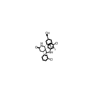 C#Cc1ccc(C)c([C@H]2NC(=O)C[C@@H](c3cccc(Cl)c3)[C@]23C(=O)Nc2cc(Cl)ccc23)c1